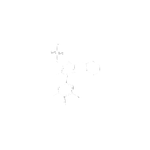 CCCS(=O)(=O)Nc1nc(OC2CCOCC2)nc(-c2cc(C)c(=O)n(C)c2)c1C